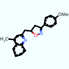 COc1ccc(C2=NOC(Cc3cc(C)c4ccccc4n3)C2)cc1